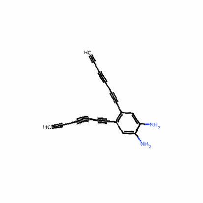 C#CC#CC#Cc1cc(N)c(N)cc1C#CC#CC#C